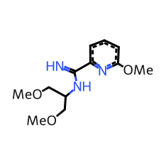 COCC(COC)NC(=N)c1cccc(OC)n1